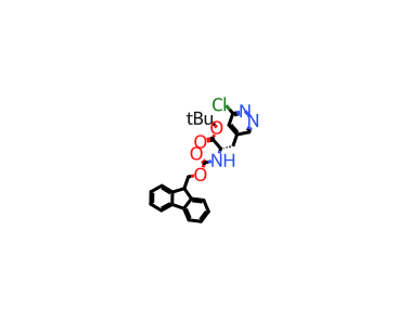 CC(C)(C)OC(=O)[C@H](Cc1cnnc(Cl)c1)NC(=O)OCC1c2ccccc2-c2ccccc21